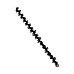 CCCCCCCCCCCCCCCC/C=C/CCCCCCCCCCCCCCCC